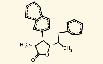 CC(Cc1ccccc1)[C@@H]1OC(=O)[C@H](C)[C@H]1c1ccc2ccccc2c1